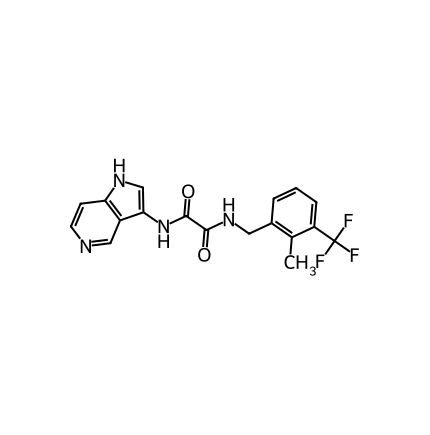 Cc1c(CNC(=O)C(=O)Nc2c[nH]c3ccncc23)cccc1C(F)(F)F